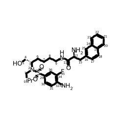 CC(C)CN([C@H](CO)CCCCNC(=O)[C@@H](N)Cc1ccc2ccccc2c1)S(=O)(=O)c1ccc(N)c(F)c1